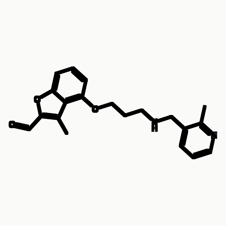 Cc1ncccc1CNCCCOc1cccc2oc(C=O)c(C)c12